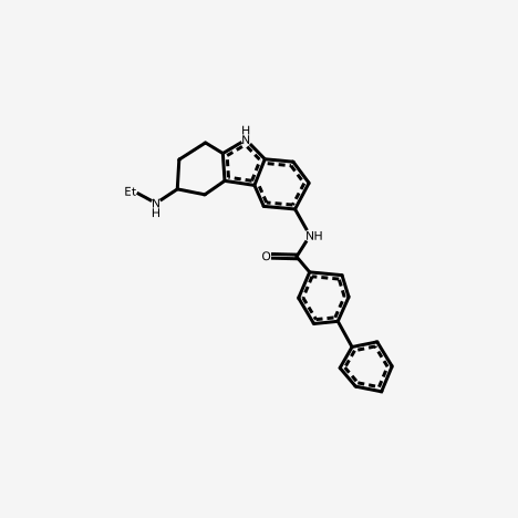 CCNC1CCc2[nH]c3ccc(NC(=O)c4ccc(-c5ccccc5)cc4)cc3c2C1